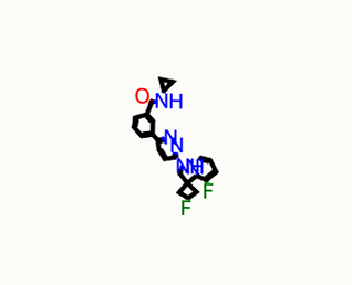 O=C(NC1CC1)c1cccc(-c2ccc(NCC3(c4ncccc4F)CC(F)C3)nn2)c1